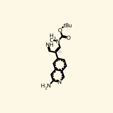 CN(/C=C(\C=N)c1ccc2cnc(N)cc2c1)C(=O)OC(C)(C)C